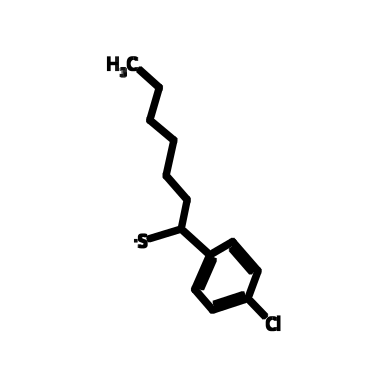 CCCCCCC([S])c1ccc(Cl)cc1